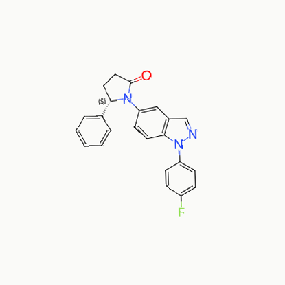 O=C1CC[C@@H](c2ccccc2)N1c1ccc2c(cnn2-c2ccc(F)cc2)c1